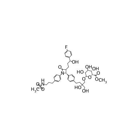 COC(=O)[C@H]1O[C@@H](OCC(O)(CO)CCc2ccc([C@@H]3C(CC[C@H](O)c4ccc(F)cc4)C(=O)N3c3ccc(CCCNS(C)(=O)=O)cc3)cc2)[C@H](O)[C@@H](O)[C@@H]1O